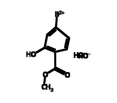 [B+2]c1ccc(C(=O)OC)c(O)c1.[OH-].[OH-]